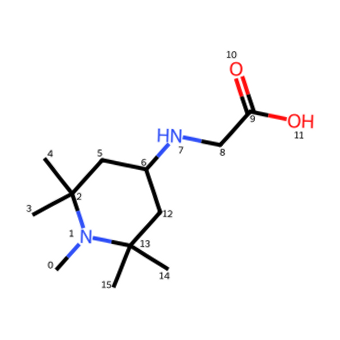 CN1C(C)(C)CC(NCC(=O)O)CC1(C)C